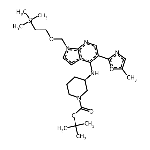 Cc1cnc(-c2cnc3c(ccn3COCC[Si](C)(C)C)c2N[C@@H]2CCCN(C(=O)OC(C)(C)C)C2)o1